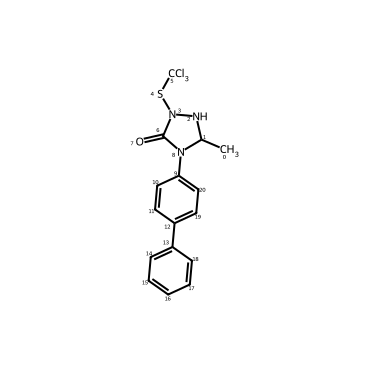 CC1NN(SC(Cl)(Cl)Cl)C(=O)N1c1ccc(-c2ccccc2)cc1